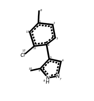 Cc1ccc(-c2cn[nH]c2C)c(Cl)c1